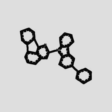 c1ccc(-c2ccc3c(c2)c2ccccc2n3-c2cc3cccc4c3c(n2)-c2ccccc2-4)cc1